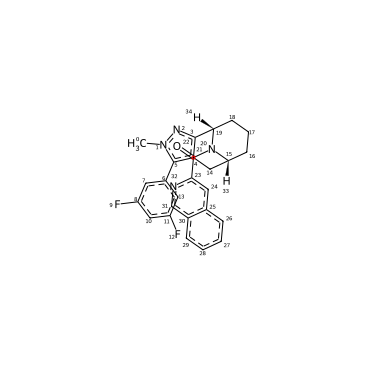 Cn1nc2c(c1-c1cc(F)cc(F)c1)C[C@H]1CCC[C@@H]2N1C(=O)c1cc2ccccc2cn1